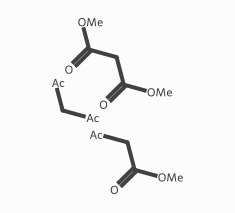 CC(=O)CC(C)=O.COC(=O)CC(=O)OC.COC(=O)CC(C)=O